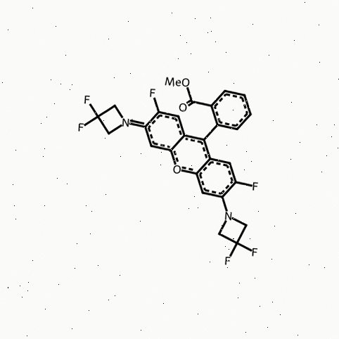 COC(=O)c1ccccc1-c1c2cc(F)c(=[N+]3CC(F)(F)C3)cc-2oc2cc(N3CC(F)(F)C3)c(F)cc12